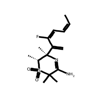 C=C(/C(F)=C\C=C/C)[C@@]1(C)N=C(N)C(C)(C)S(=O)(=O)[C@@H]1C